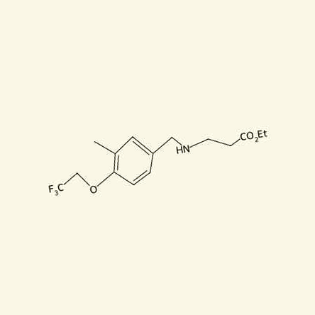 CCOC(=O)CCNCc1ccc(OCC(F)(F)F)c(C)c1